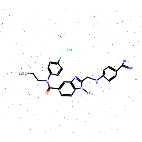 CCOC(=O)CCN(C(=O)c1ccc2c(c1)nc(CNc1ccc(C(=N)N)cc1)n2C)c1ccc(F)cc1.Cl